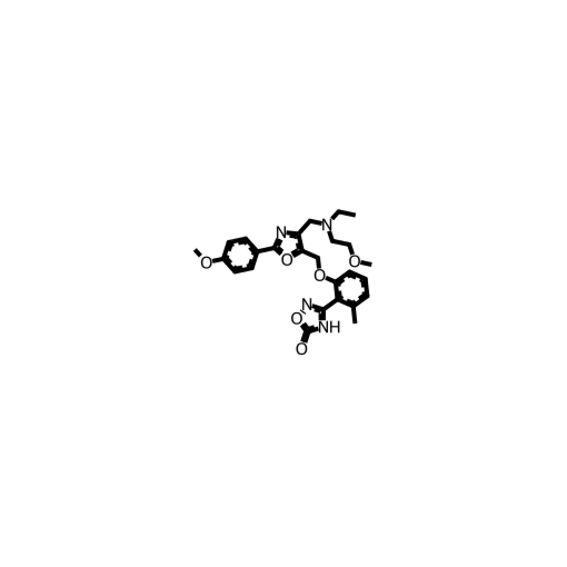 CCN(CCOC)Cc1nc(-c2ccc(OC)cc2)oc1COc1cccc(C)c1-c1noc(=O)[nH]1